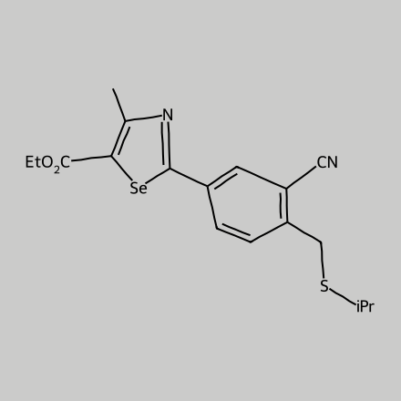 CCOC(=O)c1[se]c(-c2ccc(CSC(C)C)c(C#N)c2)nc1C